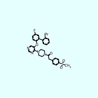 CC(C)c1ccccc1-c1cc(F)ccc1Oc1cncnc1N1CCN(C(=O)Cc2ccc(S(C)(=O)=O)cc2)CC1